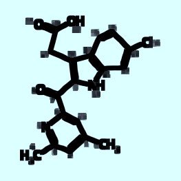 Cc1cc(C)nc(C(=O)c2[nH]c3cc(Cl)ccc3c2CC(=O)O)c1